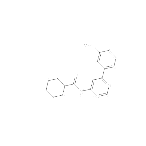 COc1cccc(-c2cc(NC(=O)C3CCCCC3)ncn2)c1